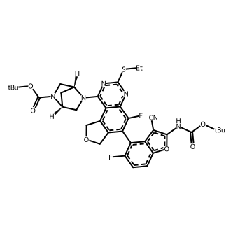 CCSc1nc(N2C[C@H]3C[C@@H]2CN3C(=O)OC(C)(C)C)c2c3c(c(-c4c(F)ccc5oc(NC(=O)OC(C)(C)C)c(C#N)c45)c(F)c2n1)COC3